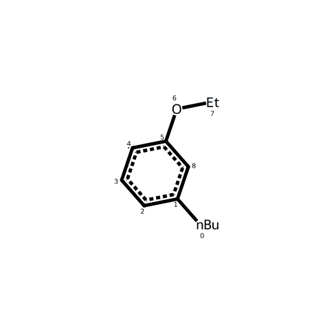 CCCCc1cc[c]c(OCC)c1